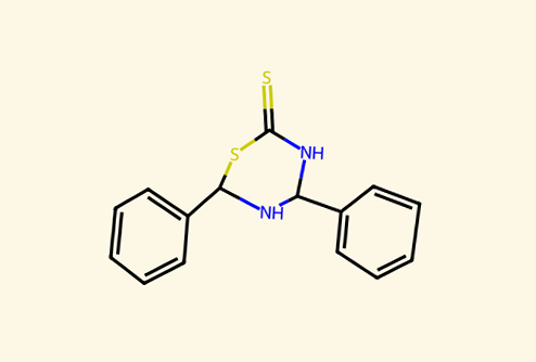 S=C1NC(c2ccccc2)NC(c2ccccc2)S1